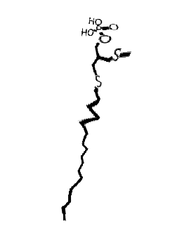 CCCCCCCCCCCCCCCCSCC(COP(=O)(O)O)CSC